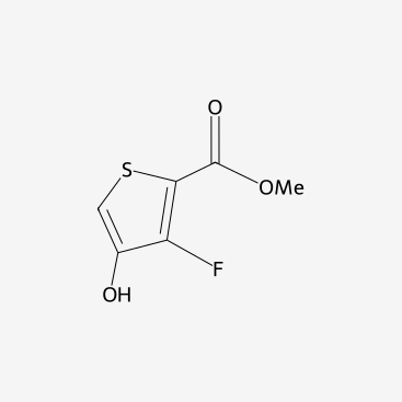 COC(=O)c1scc(O)c1F